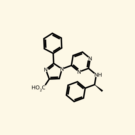 C[C@H](Nc1nccc(-n2cc(C(=O)O)nc2-c2ccccc2)n1)c1ccccc1